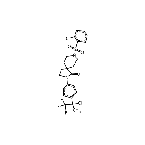 CC(O)(c1ccc(N2CCC3(CCN(S(=O)(=O)c4ccccc4Cl)CC3)C2=O)cc1)C(F)(F)F